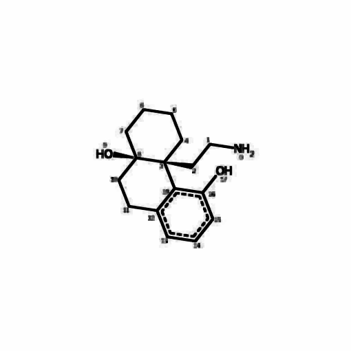 NCC[C@]12CCCC[C@@]1(O)CCc1cccc(O)c12